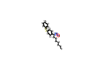 CCCCCCCC(N=O)c1ccc(Sc2ccccc2)cc1